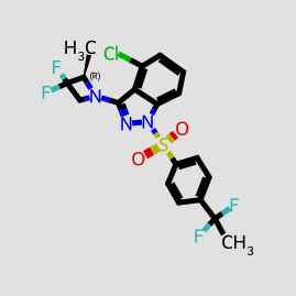 C[C@H]1N(c2nn(S(=O)(=O)c3ccc(C(C)(F)F)cc3)c3cccc(Cl)c23)CC1(F)F